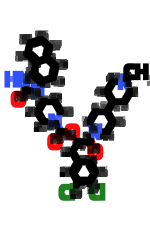 CN1CCC(C2CCN(C(=O)[C@@H](Cc3ccc(Cl)c(Cl)c3)OC(=O)N3CCC(n4c(=O)[nH]c5c6ccccc6ccc54)CC3)CC2)CC1